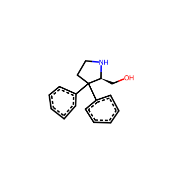 OC[C@@H]1NCCC1(c1ccccc1)c1ccccc1